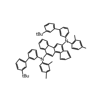 Cc1ccc(N(c2cccc(-c3cccc(C(C)(C)C)c3)c2)c2cc3c4ccccc4c(N(c4cccc(-c5cccc(C(C)(C)C)c5)c4)c4ccc(C)cc4C)cc3c3ccccc23)c(C)c1